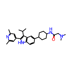 Cc1cc(-c2[nH]c3ccc(C4CCC(NC(=O)CN(C)C)CC4)cc3c2C(C)C)cc(C)n1